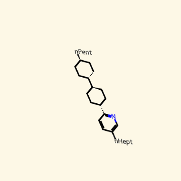 CCCCCCCc1ccc([C@H]2CC[C@H]([C@H]3CC[C@H](CCCCC)CC3)CC2)nc1